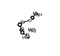 Cl.Cl.c1cc(OCCCCOc2ccc(C3=NCCN3)cc2)cc(-c2cc3ccc(C4=NCCN4)cc3o2)c1